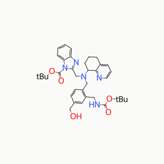 CC(C)(C)OC(=O)NCc1cc(CO)ccc1CN(Cc1nc2ccccc2n1C(=O)OC(C)(C)C)C1CCCc2cccnc21